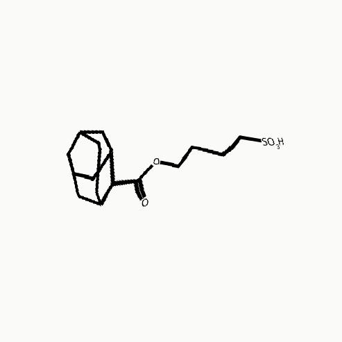 O=C(OCCCCS(=O)(=O)O)C1C2CC3CC(C2)CC1C3